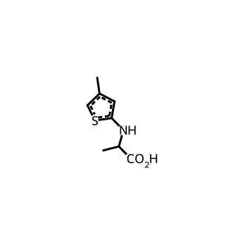 Cc1csc(NC(C)C(=O)O)c1